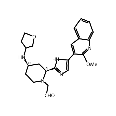 COc1nc2ccccc2cc1-c1cnc([C@@H]2C[C@H](NC3CCOC3)CCN2CC=O)[nH]1